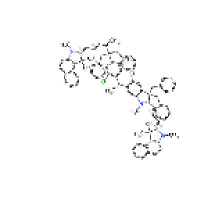 C=C(/C=C/C=C1/N(C)c2ccc3ccccc3c2C1(C)C)C(Cc1ccccc1)(Cc1ccccc1)c1cc(Cl)c(C(C)c2cc3c(cc2Cl)C(Cc2ccccc2)(Cc2ccccc2)C(/C=C/C=C2/N(C)c4ccc5ccccc5c4C2(C)C)=[N+]3C)cc1C